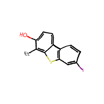 CCc1c(O)ccc2c1sc1cc(I)ccc12